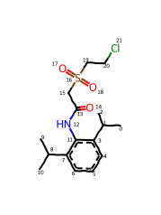 CC(C)c1cccc(C(C)C)c1NC(=O)CS(=O)(=O)CCCl